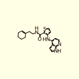 O=C(NCCC1=CCCCC1)c1sccc1Nc1ccnc2[nH]ccc12